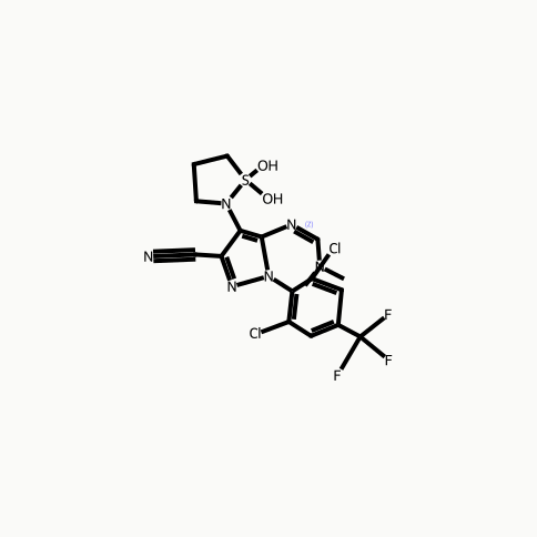 CN(C)/C=N\c1c(N2CCCS2(O)O)c(C#N)nn1-c1c(Cl)cc(C(F)(F)F)cc1Cl